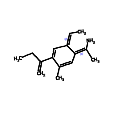 C=C(CC)c1cc(=C/C)/c(=C(/C)N)cc1C